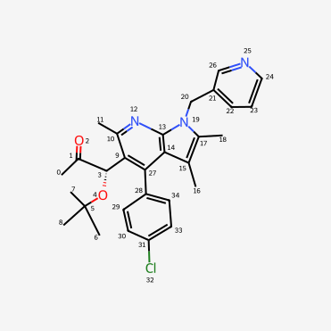 CC(=O)[C@@H](OC(C)(C)C)c1c(C)nc2c(c(C)c(C)n2Cc2cccnc2)c1-c1ccc(Cl)cc1